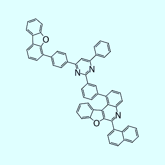 c1ccc(-c2cc(-c3ccc(-c4cccc5c4oc4ccccc45)cc3)nc(-c3cccc(-c4cccc5nc(-c6cccc7ccccc67)c6oc7ccccc7c6c45)c3)n2)cc1